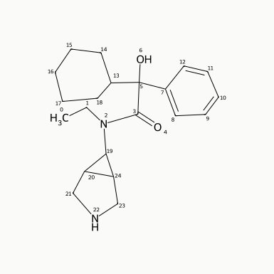 CCN(C(=O)C(O)(c1ccccc1)C1CCCCC1)C1C2CNCC21